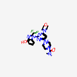 CN(C)C(=O)N1CCN(c2cc(N3CCOCC3)nc(-n3c(C(F)F)nc4c(O)cccc43)n2)CC1